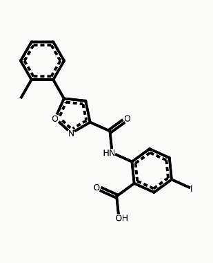 Cc1ccccc1-c1cc(C(=O)Nc2ccc(I)cc2C(=O)O)no1